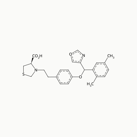 Cc1ccc(C)c(C(Oc2ccc(CCN3CSC[C@H]3C(=O)O)cc2)c2cocn2)c1